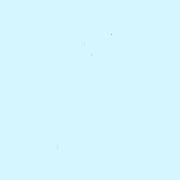 O=c1[nH]cnn1-c1ccc(OCC(F)(F)F)cc1